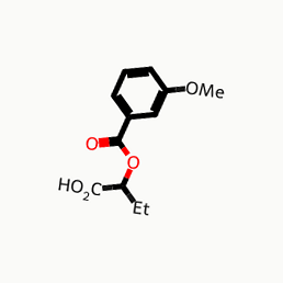 CCC(OC(=O)c1cccc(OC)c1)C(=O)O